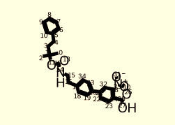 CC(C)(CCc1ccccc1)OC(=O)NCCc1ccc(-c2ccc(C(=O)O)c([N+](=O)[O-])c2)cc1